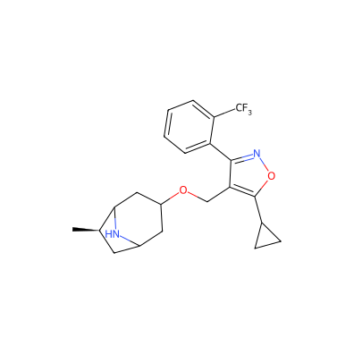 C[C@@H]1CC2CC(OCc3c(-c4ccccc4C(F)(F)F)noc3C3CC3)CC1N2